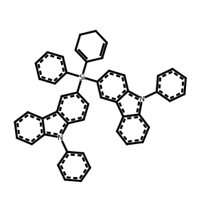 C1=CC([Si](c2ccccc2)(c2ccc3c(c2)c2ccccc2n3-c2ccccc2)c2ccc3c(c2)c2ccccc2n3-c2ccccc2)=CCC1